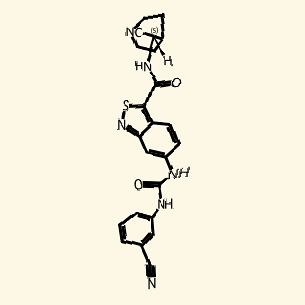 N#Cc1cccc(NC(=O)Nc2ccc3c(C(=O)N[C@@H]4CN5CCC4CC5)snc3c2)c1